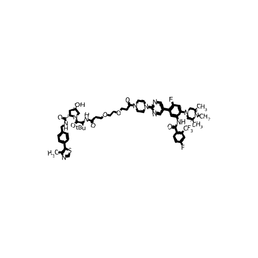 Cc1ncsc1-c1ccc(CNC(=O)[C@@H]2C[C@H](O)CN2C(=O)[C@@H](NC(=O)CCOCCOCCC(=O)N2CCN(c3ncc(-c4cc(NC(=O)c5ccc(F)cc5C(F)(F)F)c(N5C[C@@H](C)N(C)[C@@H](C)C5)cc4F)cn3)CC2)C(C)(C)C)cc1